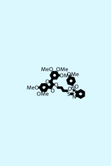 COc1ccc(S(=O)(=O)n2c(SCCCCOc3c(-c4cc(OC)c(OC)c(OC)c4)oc4cc(OC)cc(OC)c4c3=O)nc3ccccc32)cc1